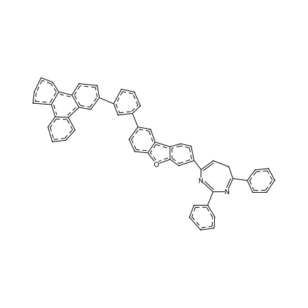 C1=C(c2ccc3c(c2)oc2ccc(-c4cccc(-c5ccc6c7ccccc7c7ccccc7c6c5)c4)cc23)N=C(c2ccccc2)N=C(c2ccccc2)C1